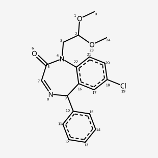 COC(CN1C(=O)C=NC(c2ccccc2)c2cc(Cl)ccc21)OC